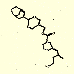 CC(/C=C1\CCCC(C(=O)OCC2COC(C3C=C4CCCC(C4)C3)OC2)C1)CCO